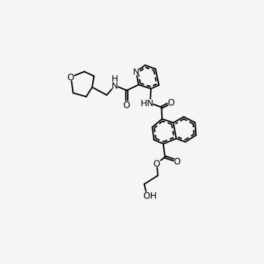 O=C(NCC1CCOCC1)c1ncccc1NC(=O)c1ccc(C(=O)OCCO)c2ccccc12